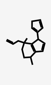 C=CCC1(C)CCC(C)C2=C1C(C1=CCC=C1)C=C2